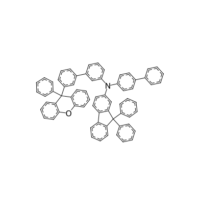 c1ccc(-c2ccc(N(c3cccc(-c4cccc(C5(c6ccccc6)c6ccccc6Oc6ccccc65)c4)c3)c3ccc4c(c3)C(c3ccccc3)(c3ccccc3)c3ccccc3-4)cc2)cc1